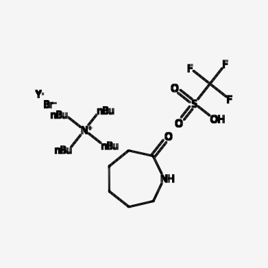 CCCC[N+](CCCC)(CCCC)CCCC.O=C1CCCCCN1.O=S(=O)(O)C(F)(F)F.[Br-].[Y]